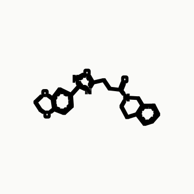 O=C(CCc1nc(-c2ccc3c(c2)OCCO3)no1)N1CCc2ccccc2C1